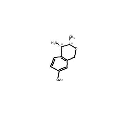 CC(=O)Oc1ccc2c(c1)CO[C@@H](C)[C@H]2N